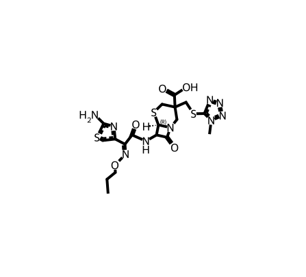 CCCON=C(C(=O)NC1C(=O)N2CC(CSc3nnnn3C)(C(=O)O)CS[C@H]12)c1csc(N)n1